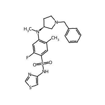 Cc1cc(S(=O)(=O)Nc2cscn2)c(F)cc1N(C)[C@H]1CCN(Cc2ccccc2)C1